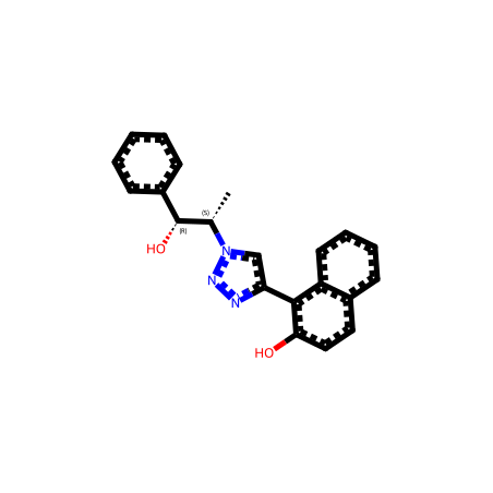 C[C@@H]([C@H](O)c1ccccc1)n1cc(-c2c(O)ccc3ccccc23)nn1